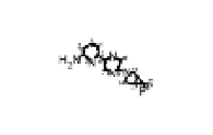 Nc1cccc(-c2cnc(N3CC4C(C3)C4(F)F)cn2)n1